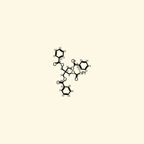 CCCC(=O)OCC(COC(=O)c1ccccc1)(COC(=O)c1ccccc1)COC(=O)c1ccccc1